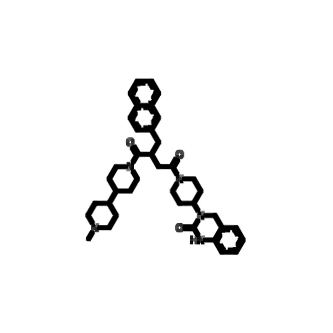 CN1CCC(C2CCN(C(=O)C(CC(=O)N3CCC(N4Cc5ccccc5NC4=O)CC3)Cc3ccc4ccccc4c3)CC2)CC1